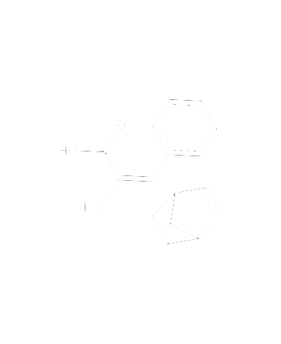 C1=CC2CCC1C2.CC(=Cc1ccccc1)C(=O)O